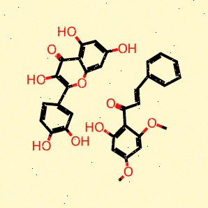 COc1cc(O)c(C(=O)C=Cc2ccccc2)c(OC)c1.O=c1c(O)c(-c2ccc(O)c(O)c2)oc2cc(O)cc(O)c12